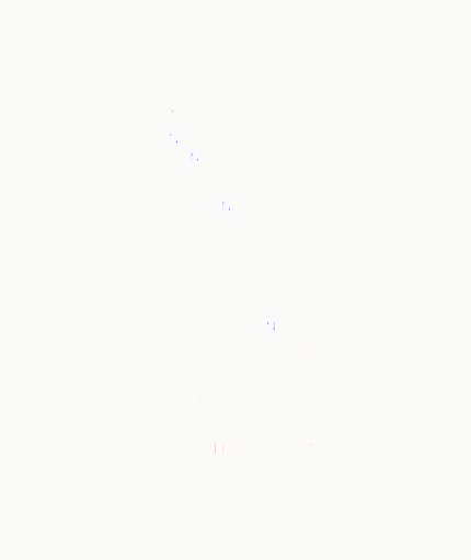 Cn1ccc(-c2ccc(C3CCN(C(=O)c4cc(F)c(O)c(C=O)c4)CC3)cn2)n1